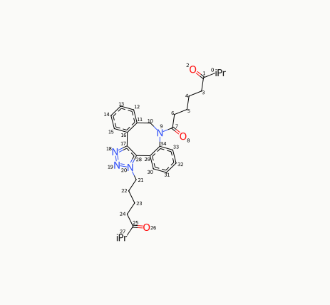 CC(C)C(=O)CCCCC(=O)N1Cc2ccccc2-c2nnn(CCCCC(=O)C(C)C)c2-c2ccccc21